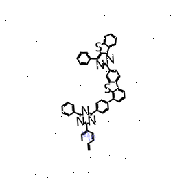 C=C/C=C\C(=C/C)c1nc(-c2ccccc2)nc(-c2ccc(-c3cccc4c3sc3cc(-c5nc(-c6ccccc6)c6sc7ccccc7c6n5)ccc34)cc2)n1